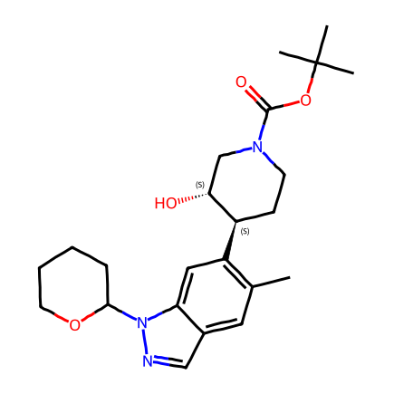 Cc1cc2cnn(C3CCCCO3)c2cc1[C@@H]1CCN(C(=O)OC(C)(C)C)C[C@H]1O